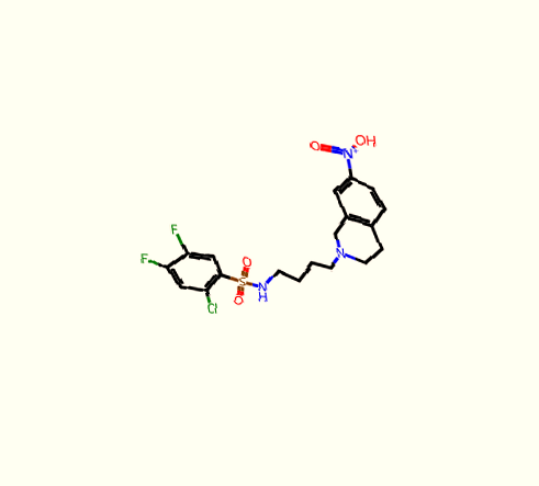 O=[N+](O)c1ccc2c(c1)CN(CCCCNS(=O)(=O)c1cc(F)c(F)cc1Cl)CC2